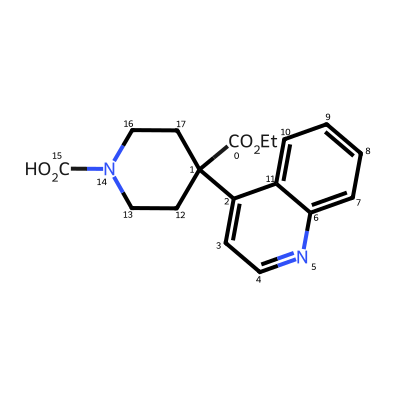 CCOC(=O)C1(c2ccnc3ccccc23)CCN(C(=O)O)CC1